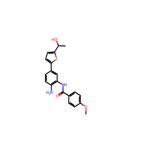 COc1ccc(C(=O)Nc2cc(-c3ccc(C(C)O)s3)ccc2N)cc1